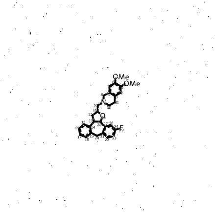 COc1cc2c(cc1OC)CN(CC1CC3c4ccccc4Cc4ccc(F)cc4C3O1)CC2